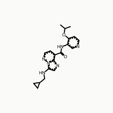 CC(C)Oc1ccncc1NC(=O)c1ccnn2c(NCC3CC3)cnc12